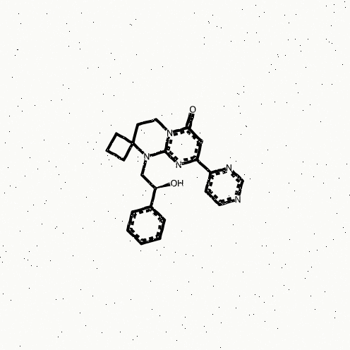 O=c1cc(-c2ccncn2)nc2n1CCC1(CCC1)N2C[C@@H](O)c1ccccc1